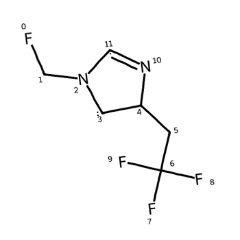 FCN1[C]C(CC(F)(F)F)N=[C]1